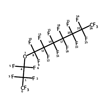 FC(F)(F)C(F)(F)C(F)(F)OC(F)(F)C(F)(F)C(F)(F)C(F)(F)C(F)(F)C(F)(F)C(F)(F)F